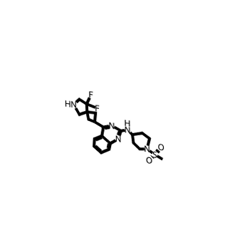 CS(=O)(=O)N1CCC(Nc2nc(C3CC4(CNCC4(F)F)C3)c3ccccc3n2)CC1